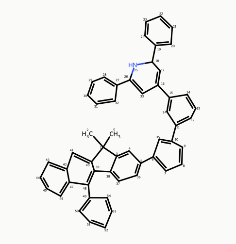 CC1(C)c2cc(-c3cccc(-c4cccc(C5=CC(c6ccccc6)NC(c6ccccc6)=C5)c4)c3)ccc2-c2c1cc1ccccc1c2-c1ccccc1